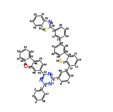 c1ccc(-c2nc(-c3cccc(-c4cccc5c4sc4ccc(-c6cccc(-c7nc8ccccc8s7)c6)cc45)c3)nc(-c3ccc4c(c3)oc3ccccc34)n2)cc1